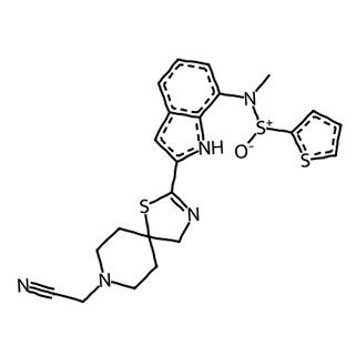 CN(c1cccc2cc(C3=NCC4(CCN(CC#N)CC4)S3)[nH]c12)[S+]([O-])c1cccs1